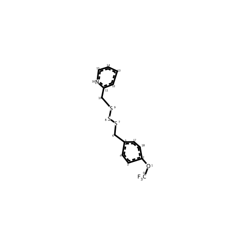 FC(F)(F)Oc1ccc(CSSSCc2ccccn2)cc1